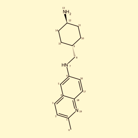 Cc1ccc2cc(NC[C@H]3CC[C@H](N)CC3)ccc2n1